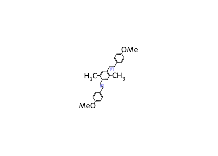 COc1ccc(/C=C/c2cc(C)c(/C=C/c3ccc(OC)cc3)cc2C)cc1